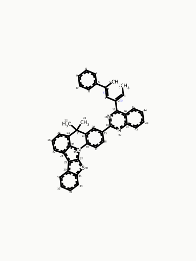 C/C=C(\C=C(/C)c1ccccc1)c1nc(-c2ccc3c(c2)C(C)(C)c2cccc4c5c6ccccc6sc5n-3c24)nc2ccccc12